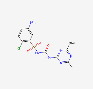 COc1nc(C)nc(NC(=O)NS(=O)(=O)c2cc(N)ccc2Cl)n1